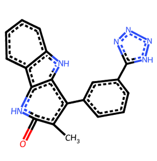 Cc1c(-c2cccc(-c3nnn[nH]3)c2)c2[nH]c3ccccc3c2[nH]c1=O